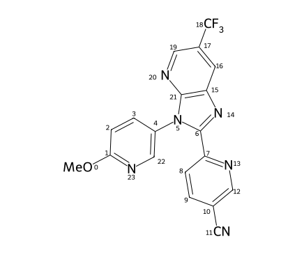 COc1ccc(-n2c(-c3ccc(C#N)cn3)nc3cc(C(F)(F)F)cnc32)cn1